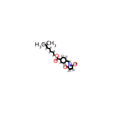 CC(C)=CCCCCOC(=O)C1CCC(CN2C(=O)C=CC2=O)CC1